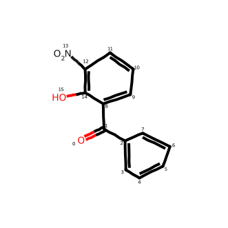 O=C(c1ccccc1)c1cccc([N+](=O)[O-])c1O